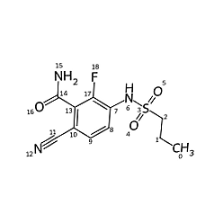 CCCS(=O)(=O)Nc1ccc(C#N)c(C(N)=O)c1F